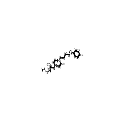 NC(=O)CN1CCN(CCCCOc2ccccc2)CC1